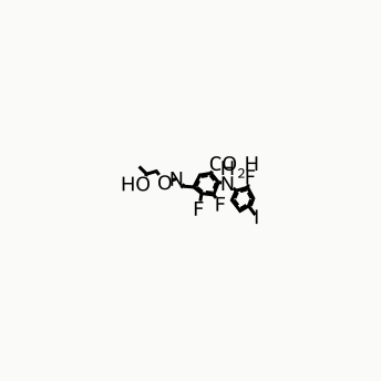 CC(O)CON=Cc1cc(C(=O)O)c(Nc2ccc(I)cc2F)c(F)c1F